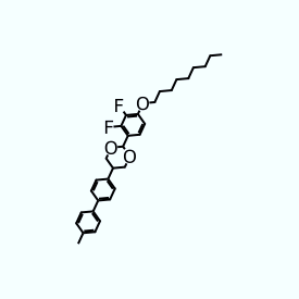 CCCCCCCCCOc1ccc(C2OCC(c3ccc(-c4ccc(C)cc4)cc3)CO2)c(F)c1F